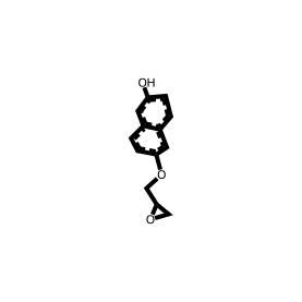 Oc1ccc2cc(OCC3CO3)ccc2c1